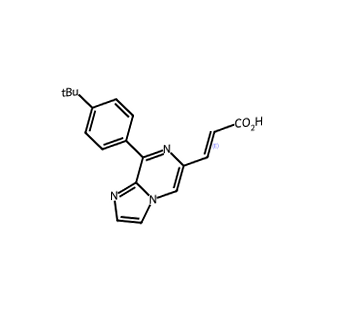 CC(C)(C)c1ccc(-c2nc(/C=C/C(=O)O)cn3ccnc23)cc1